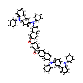 c1ccc(N(c2ccc3cc4c(cc3c2)oc2cc3oc5cc6cc(N(c7ccccc7)c7ccc8c(c7)c7ccccc7n8-c7ccccc7)ccc6cc5c3cc24)c2ccc3c(c2)c2ccccc2n3-c2ccccc2)cc1